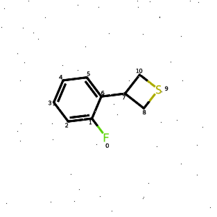 Fc1c[c]ccc1C1CSC1